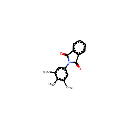 COc1cc(N2C(=O)c3ccccc3C2=O)cc(OC)c1OC